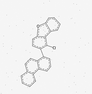 Clc1c(-c2cccc3c2ccc2ccccc23)ccc2oc3ccccc3c12